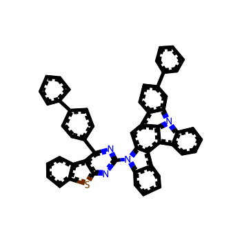 c1ccc(-c2ccc(-c3nc(-n4c5ccccc5c5c6c7ccccc7n7c8cc(-c9ccccc9)ccc8c(cc54)c67)nc4sc5ccccc5c34)cc2)cc1